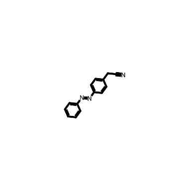 N#CCc1ccc(/N=N/c2ccccc2)cc1